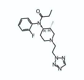 CCC(=O)N(c1ccccc1F)[C@@H]1CCN(CCn2ncnn2)C[C@H]1C